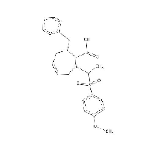 COc1ccc(S(=O)(=O)C(C)N2CC=CCC(Sc3ccccc3)C2C(=O)O)cc1